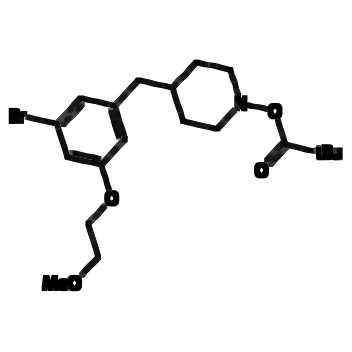 COCCOc1cc(Br)cc(CC2CCN(OC(=O)C(C)(C)C)CC2)c1